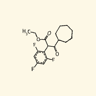 CCOC(=O)C(C(=O)C1CCCCCC1)c1c(F)cc(F)cc1F